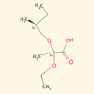 CCO[C@@](C)(OC[C@@H](C)CC)C(=O)O